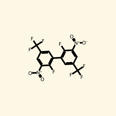 O=[N+]([O-])c1cc(C(F)(F)F)cc(-c2cc(C(F)(F)F)cc([N+](=O)[O-])c2F)c1F